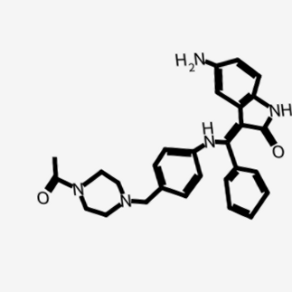 CC(=O)N1CCN(Cc2ccc(NC(=C3C(=O)Nc4ccc(N)cc43)c3ccccc3)cc2)CC1